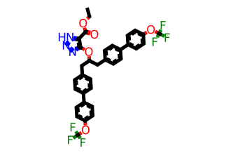 CCOC(=O)c1[nH]nnc1OC(Cc1ccc(-c2ccc(OC(F)(F)F)cc2)cc1)Cc1ccc(-c2ccc(OC(F)(F)F)cc2)cc1